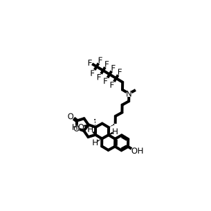 CN(CCCCC[C@H]1C[C@@]2(C)[C@@H](CC3OC(=O)C[C@@]32O)[C@@H]2CCc3cc(O)ccc3[C@@H]12)CCC(F)(F)C(F)(F)C(F)(F)C(F)(F)F